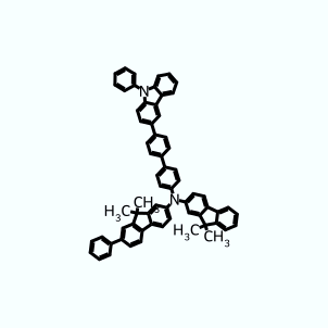 CC1(C)c2ccccc2-c2ccc(N(c3ccc(-c4ccc(-c5ccc6c(c5)c5ccccc5n6-c5ccccc5)cc4)cc3)c3ccc4c(c3)C(C)(C)c3cc(-c5ccccc5)ccc3-4)cc21